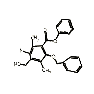 Cc1c(CO)c(F)c(C)c(C(=O)Oc2ccccc2)c1OCc1ccccc1